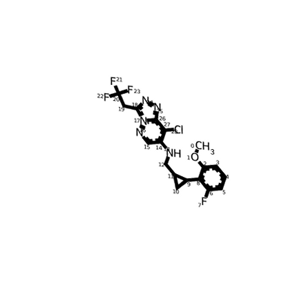 COc1cccc(F)c1C1CC1CNc1cnn2c(CC(F)(F)F)nnc2c1Cl